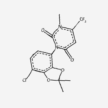 Cn1c(C(F)(F)F)cc(=O)n(-c2ccc(Cl)c3c2OC(C)(C)O3)c1=O